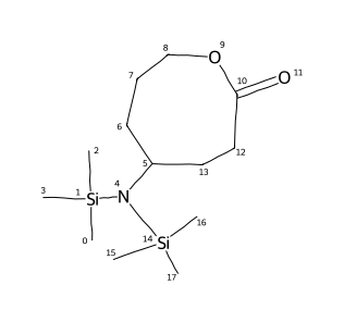 C[Si](C)(C)N(C1CCCOC(=O)CC1)[Si](C)(C)C